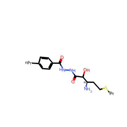 CCCc1ccc(C(=O)NNC(=O)C(O)[C@H](N)CCSC(C)C)cc1